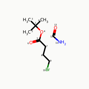 CC(C)(C)OC(=O)CCCBr.NC=O